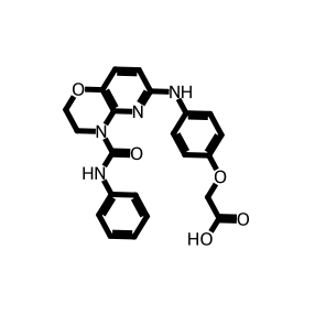 O=C(O)COc1ccc(Nc2ccc3c(n2)N(C(=O)Nc2ccccc2)CCO3)cc1